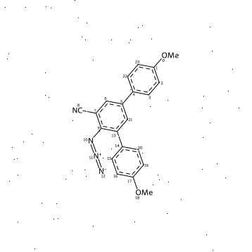 COc1ccc(-c2cc(C#N)c(N=[N+]=[N-])c(-c3ccc(OC)cc3)c2)cc1